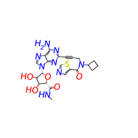 CNC(=O)[C@H]1O[C@@H](n2cnc3c(N)nc(C#CCN(C(=O)c4cncs4)C4CCC4)nc32)C(O)[C@@H]1O